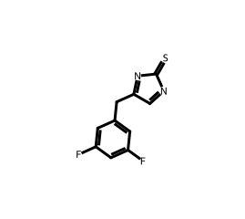 Fc1cc(F)cc(CC2=NC(=S)N=C2)c1